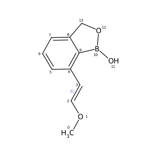 CO/C=C/c1cccc2c1B(O)OC2